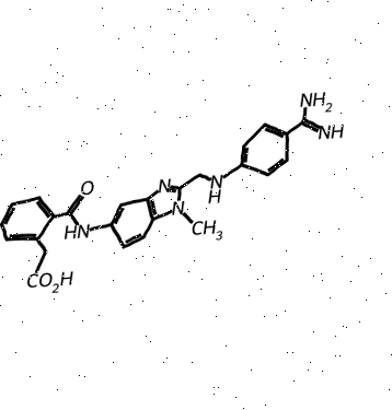 Cn1c(CNc2ccc(C(=N)N)cc2)nc2cc(NC(=O)c3ccccc3CC(=O)O)ccc21